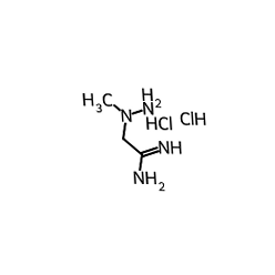 CN(N)CC(=N)N.Cl.Cl